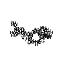 CCC(c1ccccc1)C1NC(=O)CNC(=O)C(CO)NC(=O)C(C(O)C2CNC(=N)N2C2OC(CO)C(O)C(O)C2O)NC(=O)C(C(O)C2CNC(=N)N2)NC(=O)C(Cc2ccc(OC3OC(CO)C(OC4OC(CO)C(O)C5OC(c6cccc(OC)c6)OC45)C(O)C3O)cc2)NC1=O